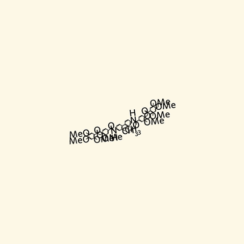 COc1cc(OC)c(C(=O)Oc2ccc(C(=O)Nc3ccc(-c4ccc(NC(=O)c5ccc(OC(=O)c6cc(OC)c(OC)cc6OC)c(OC)c5)cc4C)c(C)c3)cc2OC)cc1OC